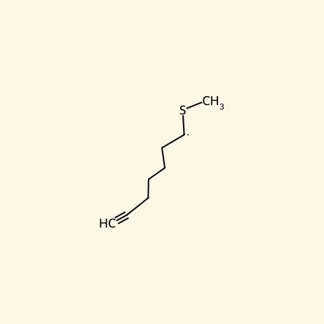 C#CCCCC[CH]SC